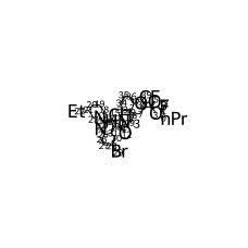 CCCC(F)OC(=O)CCC(CNC(=O)c1c(C)c(N2CCCC(CC)C2)nc2ccc(Br)cc12)c1ccccc1OC(F)(F)F